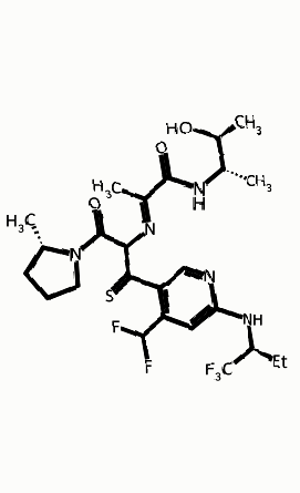 CC[C@H](Nc1cc(C(F)F)c(C(=S)C(/N=C(\C)C(=O)N[C@@H](C)[C@H](C)O)C(=O)N2CCC[C@@H]2C)cn1)C(F)(F)F